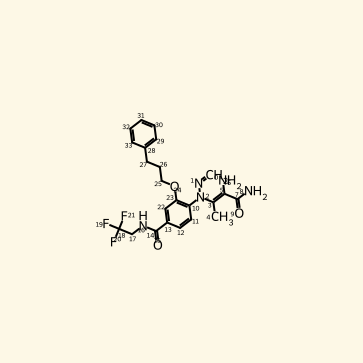 C=NN(/C(C)=C(\N)C(N)=O)c1ccc(C(=O)NCC(F)(F)F)cc1OCCCc1ccccc1